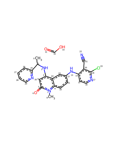 CC(Nc1cc(=O)n(C)c2ccc(Nc3ccnc(Cl)c3C#N)cc12)c1ccccn1.O=CO